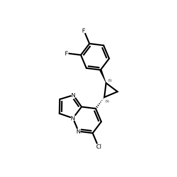 Fc1ccc([C@H]2C[C@@H]2c2cc(Cl)nn3ccnc23)cc1F